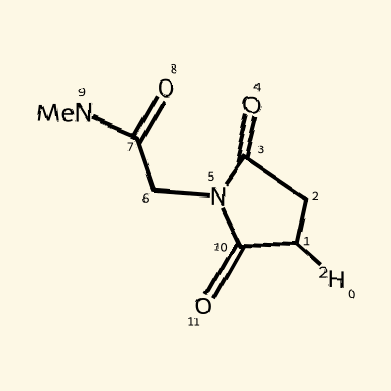 [2H]C1CC(=O)N(CC(=O)NC)C1=O